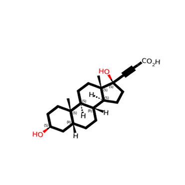 C[C@]12CC[C@H](O)C[C@H]1CC[C@@H]1[C@@H]2CC[C@@]2(C)[C@H]1CC[C@@]2(O)C#CC(=O)O